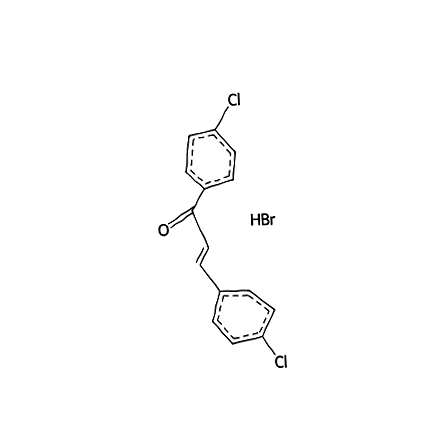 Br.O=C(/C=C/c1ccc(Cl)cc1)c1ccc(Cl)cc1